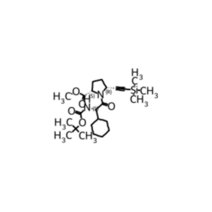 COC(=O)[C@@H]1CC[C@H](C#C[Si](C)(C)C)N1C(=O)[C@@H](NC(=O)OC(C)(C)C)C1CCCCC1